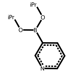 CC(C)OB(OC(C)C)c1cccnc1